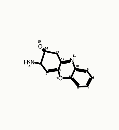 NC1C=C2Oc3ccccc3N=C2CC1=O